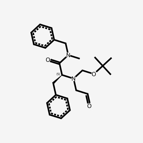 CN(Cc1ccccc1)C(=O)[C@H](Cc1ccccc1)N(CC=O)COC(C)(C)C